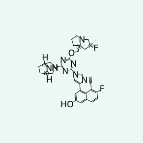 C#Cc1c(F)ccc2cc(O)cc(-c3cn(-c4nc(OC[C@@]56CCCN5C[C@H](F)C6)nc(N5C[C@H]6CC[C@@H](C5)N6)n4)cn3)c12